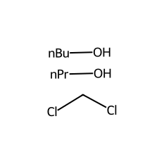 CCCCO.CCCO.ClCCl